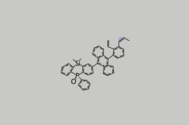 C=Cc1c(/C=C\C)cccc1-c1c2ccccc2c(-c2ccc3c(c2)[Si](C)(C)c2ccccc2P3(=O)c2ccccc2)c2ccccc12